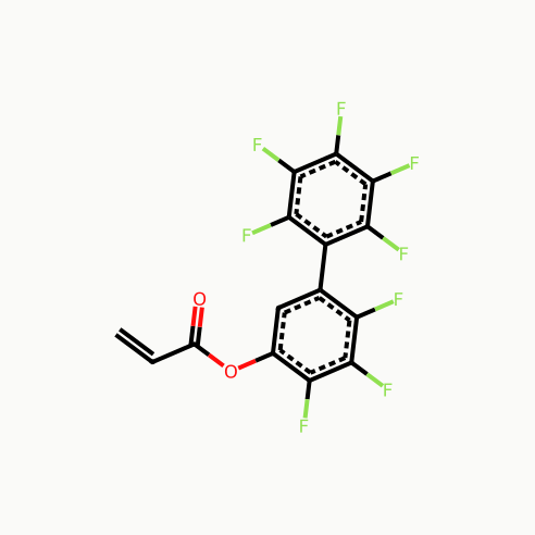 C=CC(=O)Oc1cc(-c2c(F)c(F)c(F)c(F)c2F)c(F)c(F)c1F